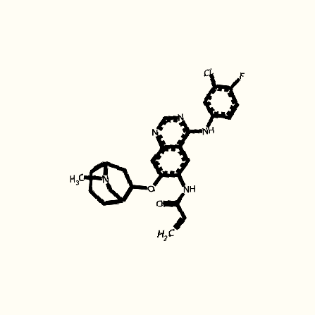 C=CC(=O)Nc1cc2c(Nc3ccc(F)c(Cl)c3)ncnc2cc1OC1CC2CCCC1CN2C